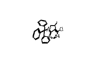 Clc1ncnc2c1c(I)cn2C(c1ccccc1)(c1ccccc1)c1ccccc1